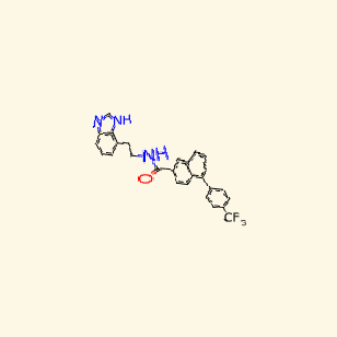 O=C(NCCc1cccc2nc[nH]c12)c1ccc2c(-c3ccc(C(F)(F)F)cc3)cccc2c1